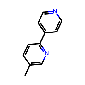 Cc1ccc(-c2ccncc2)nc1